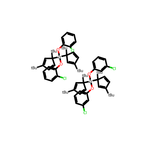 CC(C)(C)C1=C[C](C(C)(C)C)([Zr]([O]c2cccc(Cl)c2)([O]c2cccc(Cl)c2)[C]2(C(C)(C)C)C=CC(C(C)(C)C)=C2)C=C1.CC(C)(C)C1=C[C](C(C)(C)C)([Zr]([O]c2ccccc2Cl)([O]c2ccccc2Cl)[C]2(C(C)(C)C)C=CC(C(C)(C)C)=C2)C=C1